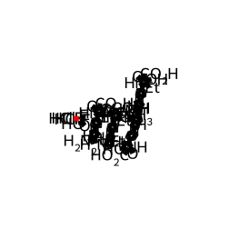 CCc1c(-c2ccc(N3C[C@H]4CCCC[C@@]4(CN(C)C)C3)cc2)[nH]c(=O)c(C(=O)O)c1O.CCc1c(-c2ccc(N3C[C@H]4CC[C@@H](N)[C@H]4C3)cc2)[nH]c(=O)c(C(=O)O)c1O.CCc1c(-c2ccc(N3C[C@H]4CC[C@H](N)[C@H]4C3)cc2)[nH]c(=O)c(C(=O)O)c1O.CCc1c(-c2ccc(N3C[C@H]4CC[C@H](NC)[C@H]4C3)cc2)[nH]c(=O)c(C(=O)O)c1O.Cl.Cl.Cl.O=C(O)C(F)(F)F